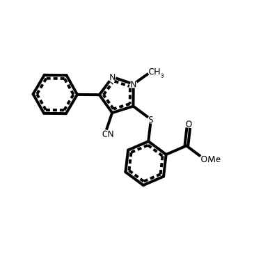 COC(=O)c1ccccc1Sc1c(C#N)c(-c2ccccc2)nn1C